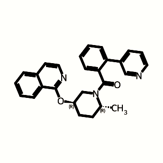 C[C@@H]1CC[C@@H](Oc2nccc3ccccc23)CN1C(=O)c1ccccc1-c1cccnc1